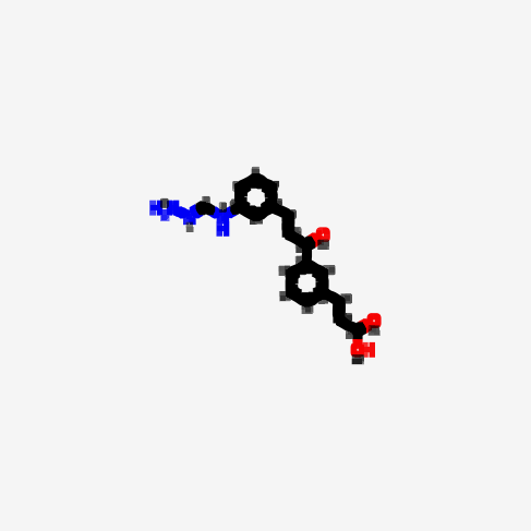 NN=CNc1cccc(C=CC(=O)c2cccc(C=CC(=O)O)c2)c1